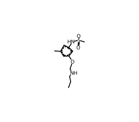 CCCNCOc1cc(C)cc(NS(C)(=O)=O)c1